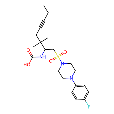 CCC#CCC(C)(C)C(CS(=O)(=O)N1CCN(c2ccc(F)cc2)CC1)NC(=O)O